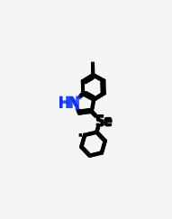 Cc1ccc2c([Se]C3[CH]CCCC3)c[nH]c2c1